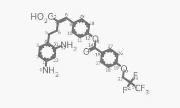 Nc1ccc(CC/C(=C\c2ccc(OC(=O)c3ccc(OCC(F)(F)C(F)(F)F)cc3)cc2)C(=O)O)c(N)c1